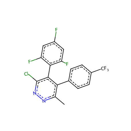 Cc1nnc(Cl)c(-c2c(F)cc(F)cc2F)c1-c1ccc(C(F)(F)F)cc1